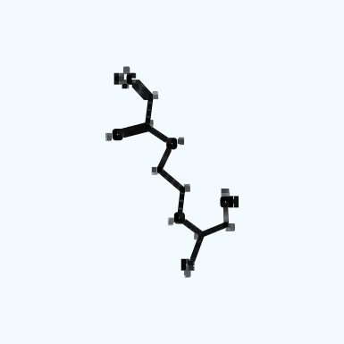 C=CC(=O)OCCOC(CC)CO